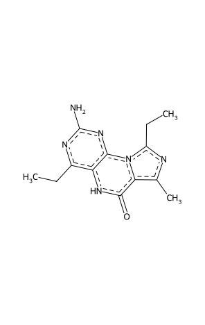 CCc1nc(N)nc2c1[nH]c(=O)c1c(C)nc(CC)n12